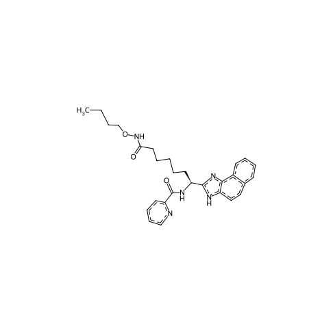 CCCCONC(=O)CCCCC[C@H](NC(=O)c1ccccn1)c1nc2c(ccc3ccccc32)[nH]1